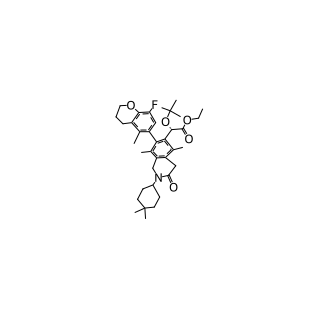 CCOC(=O)[C@@H](OC(C)(C)C)c1c(C)c2c(c(C)c1-c1cc(F)c3c(c1C)CCCO3)CN(C1CCC(C)(C)CC1)C(=O)C2